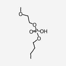 CCCCOP(=O)(O)OCCOC